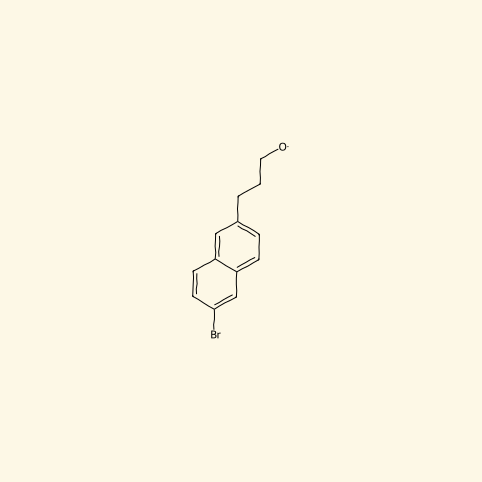 [O]CCCc1ccc2cc(Br)ccc2c1